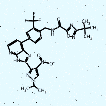 CC(C)n1cc([N+](=O)[O-])c(-c2nc3c(-c4ccc(CNC(=O)c5nc(C(C)(C)C)no5)c(C(F)(F)F)c4)ccnc3[nH]2)n1